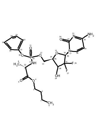 CCCCOC(=O)[C@H](C)NP(=O)(OC[C@H]1O[C@@H](n2ccc(N)nc2=O)C(F)(F)C1O)Oc1ccccc1